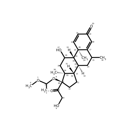 COC(C)O[C@]1(C(=O)CO)CC[C@H]2[C@@H]3CC(C)C4=CC(=O)C=C[C@]4(C)[C@H]3C(O)C[C@@]21C